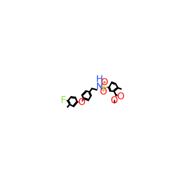 COC(=O)c1cc(S(=O)(=O)NCCc2ccc(Oc3ccc(F)c(C)c3)cc2)ccc1C